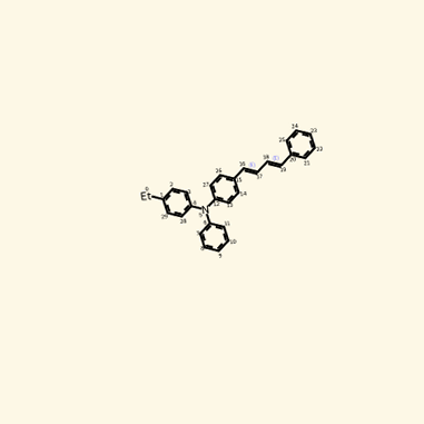 CCc1ccc(N(c2ccccc2)c2ccc(/C=C/C=C/c3ccccc3)cc2)cc1